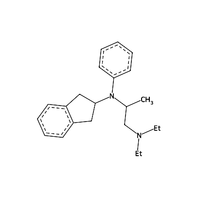 CCN(CC)CC(C)N(c1ccccc1)C1Cc2ccccc2C1